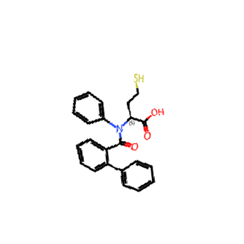 O=C(O)[C@H](CCS)N(C(=O)c1ccccc1-c1ccccc1)c1ccccc1